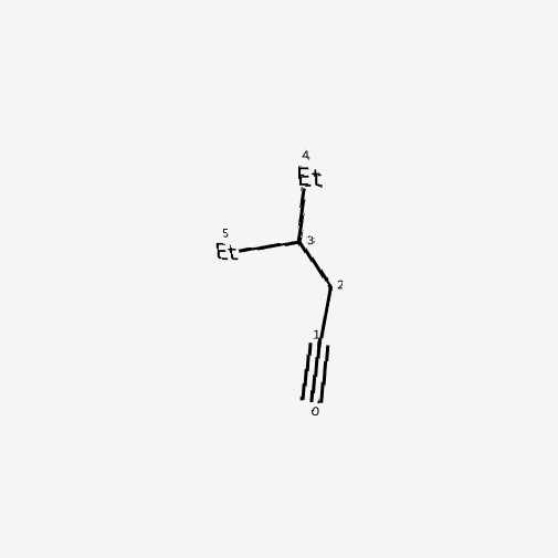 [C]#CCC(CC)CC